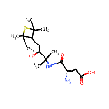 CC(C)(NC(=O)[C@@H](N)CC(=O)O)C(O)CC1C(C)(C)SC1(C)C